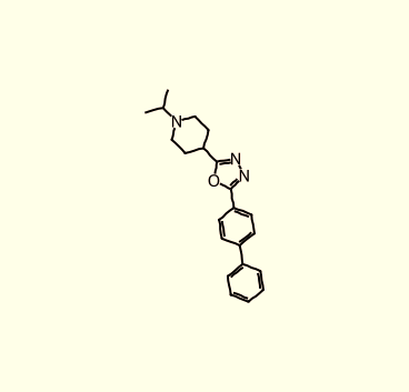 CC(C)N1CCC(c2nnc(-c3ccc(-c4ccccc4)cc3)o2)CC1